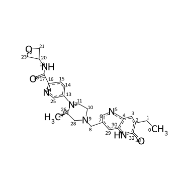 CCc1cc2ncc(CN3CCN(c4ccc(C(=O)NC5COC5)nc4)[C@H](C)C3)cc2[nH]c1=O